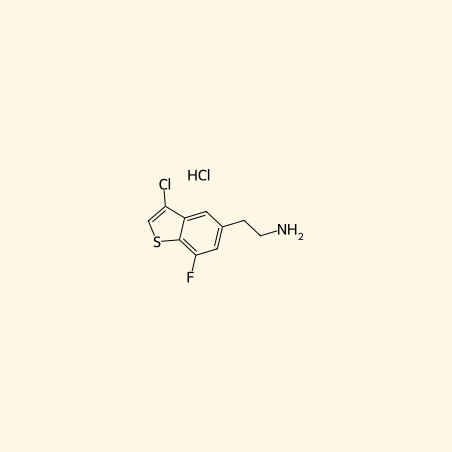 Cl.NCCc1cc(F)c2scc(Cl)c2c1